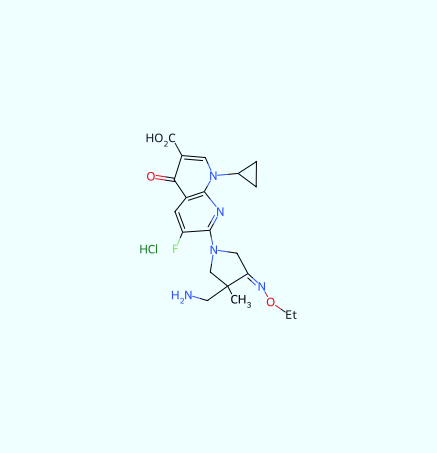 CCO/N=C1/CN(c2nc3c(cc2F)c(=O)c(C(=O)O)cn3C2CC2)CC1(C)CN.Cl